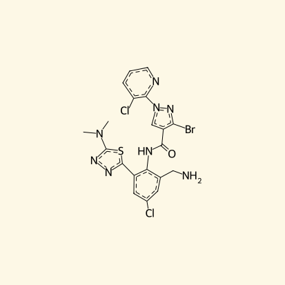 CN(C)c1nnc(-c2cc(Cl)cc(CN)c2NC(=O)c2cn(-c3ncccc3Cl)nc2Br)s1